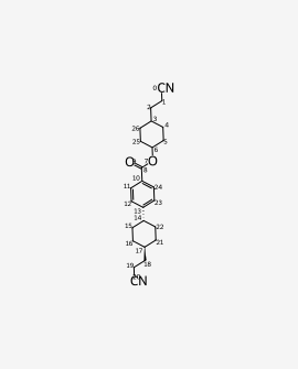 N#CCCC1CCC(OC(=O)c2ccc([C@H]3CC[C@H](CCC#N)CC3)cc2)CC1